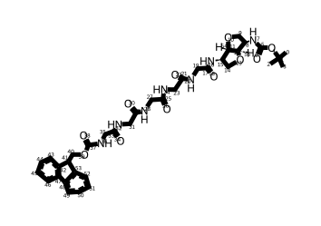 CC(C)(C)OC(=O)N[C@H]1CO[C@H]2[C@@H]1OC[C@@H]2NC(=O)CNC(=O)CNC(=O)CNC(=O)CNC(=O)CNC(=O)OCC1c2ccccc2-c2ccccc21